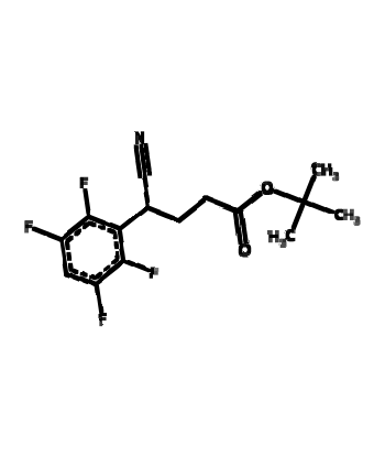 CC(C)(C)OC(=O)CCC(C#N)c1c(F)c(F)cc(F)c1F